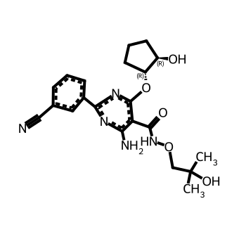 CC(C)(O)CONC(=O)c1c(N)nc(-c2cccc(C#N)c2)nc1O[C@@H]1CCC[C@H]1O